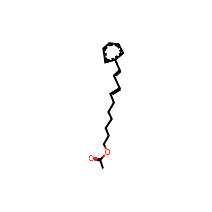 CC(=O)OCCCCCCC=CC=Cc1ccccc1